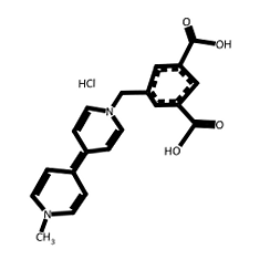 CN1C=CC(=C2C=CN(Cc3cc(C(=O)O)cc(C(=O)O)c3)C=C2)C=C1.Cl